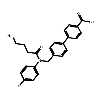 CCCCC(=O)N(Cc1ccc(-c2ccc(C(=O)O)cc2)cc1)c1ccc(F)cc1